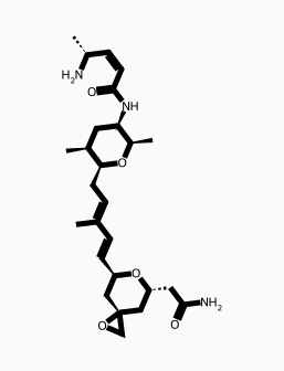 CC(/C=C/[C@@H]1C[C@]2(CO2)C[C@@H](CC(N)=O)O1)=C\C[C@@H]1O[C@H](C)[C@H](NC(=O)/C=C\[C@@H](C)N)C[C@@H]1C